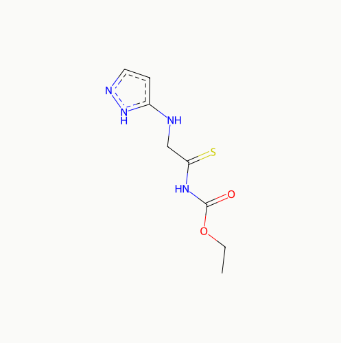 CCOC(=O)NC(=S)CNc1ccn[nH]1